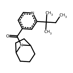 CCC(C)(C)c1cc(C(=O)N2C3CCCC2CC3)ccn1